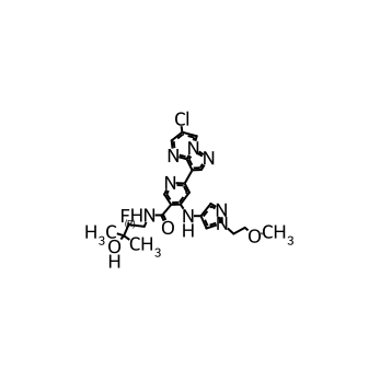 COCCn1cc(Nc2cc(-c3cnn4cc(Cl)cnc34)ncc2C(=O)NC[C@@H](F)C(C)(C)O)cn1